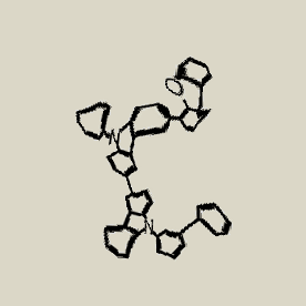 C1=CCC=CC(n2c3ccc(-c4ccc5c(c4)c4ccccc4n5-c4cccc(-c5ccccc5)c4)cc3c3cc(-c4cccc5c4oc4ccccc45)ccc32)=C1